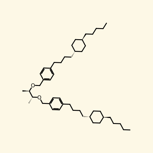 CCCCC[C@H]1CC[C@H](CCCCc2ccc(CO[C@H](C)[C@@H](C)OCc3ccc(CCCC[C@H]4CC[C@H](CCCCC)CC4)cc3)cc2)CC1